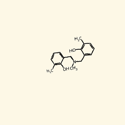 Cc1cccc(CN(C)Cc2cccc(C)c2O)c1O